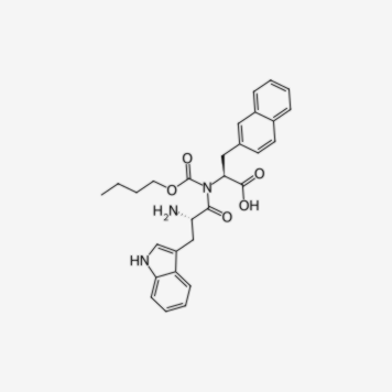 CCCCOC(=O)N(C(=O)[C@@H](N)Cc1c[nH]c2ccccc12)[C@@H](Cc1ccc2ccccc2c1)C(=O)O